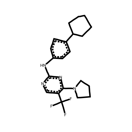 FC(F)(F)c1cnc(Nc2ccc(C3CCCCC3)cc2)nc1N1CCCC1